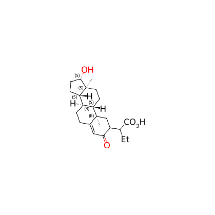 CCC(C(=O)O)C1C[C@@]2(C)C(=CC1=O)CC[C@H]1[C@@H]3CC[C@H](O)[C@@]3(C)CC[C@@H]12